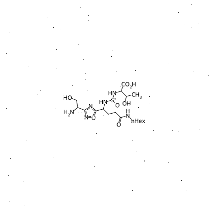 CCCCCCNC(=O)CCC(N[S+]([O-])NC(C(=O)O)C(C)O)c1nc(C(N)CO)no1